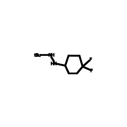 CC(C)(C)NNC1CCC(F)(F)CC1